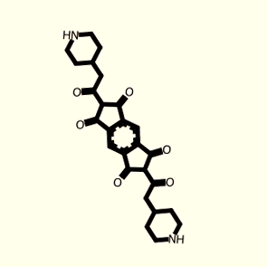 O=C(CC1CCNCC1)C1C(=O)c2cc3c(cc2C1=O)C(=O)C(C(=O)CC1CCNCC1)C3=O